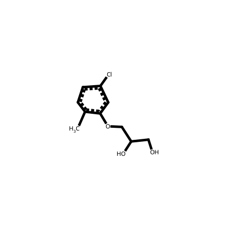 Cc1ccc(Cl)cc1OCC(O)CO